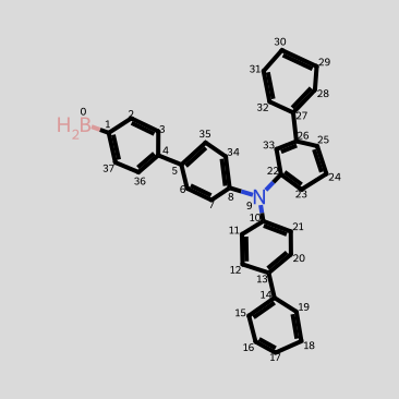 Bc1ccc(-c2ccc(N(c3ccc(-c4ccccc4)cc3)c3cccc(-c4ccccc4)c3)cc2)cc1